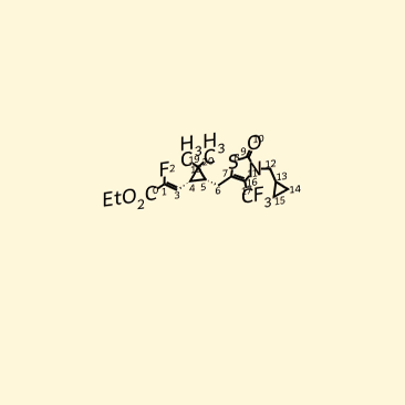 CCOC(=O)C(F)=C[C@H]1[C@@H](Cc2sc(=O)n(CC3CC3)c2C(F)(F)F)C1(C)C